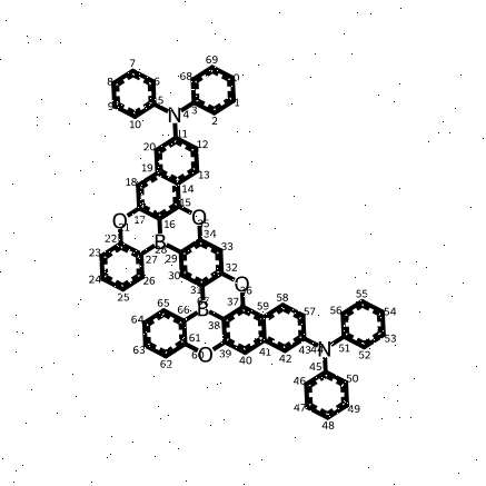 c1ccc(N(c2ccccc2)c2ccc3c4c5c(cc3c2)Oc2ccccc2B5c2cc3c(cc2O4)Oc2c4c(cc5cc(N(c6ccccc6)c6ccccc6)ccc25)Oc2ccccc2B34)cc1